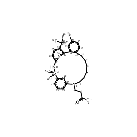 O=C(O)CCN1CCCCCCc2ccc(F)cc2-c2nc(ccc2C(F)(F)F)NS(=O)(=O)c2cccc1n2